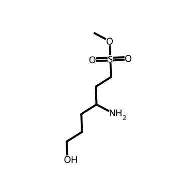 COS(=O)(=O)CCC(N)CCCO